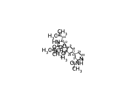 CC(=O)Nc1cc(-c2ccc(OCC(CC(C)C)NC(=O)OC(C)(C)C)c(C)c2)ccn1